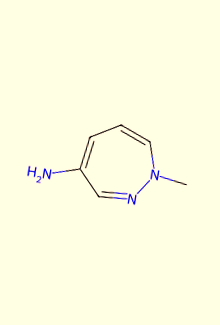 CN1C=CC=C(N)C=N1